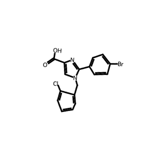 O=C(O)c1cn(Cc2ccccc2Cl)c(-c2ccc(Br)cc2)n1